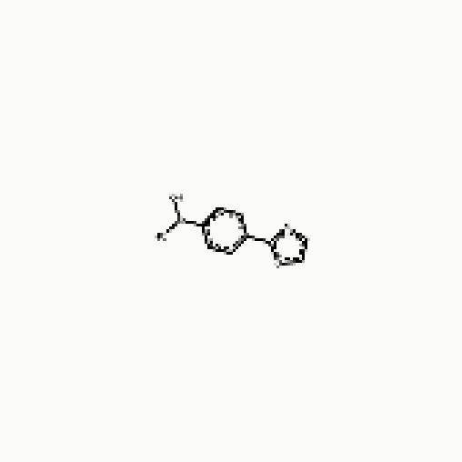 OB(O)c1ccc(-c2ncco2)cc1